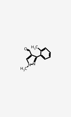 Cc1ccccc1-c1nn(C)cc1C=O